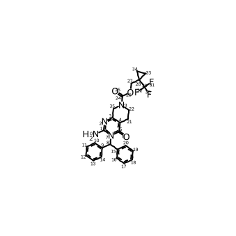 Nc1nc2c(c(=O)n1C(c1ccccc1)c1ccccc1)CCN(C(=O)OCC1(C(F)(F)F)CC1)C2